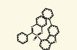 O=S1(c2cccc3oc4ccc(-c5ccccc5)cc4c23)=Nc2ccccc2N=C1c1ccccc1